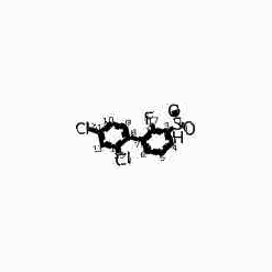 O=[SH](=O)c1cccc(-c2ccc(Cl)cc2Cl)c1F